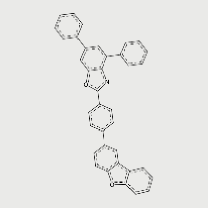 c1ccc(-c2cc(-c3ccccc3)c3nc(-c4ccc(-c5ccc6oc7ccccc7c6c5)cc4)oc3c2)cc1